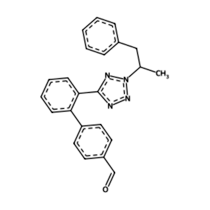 CC(Cc1ccccc1)n1nnc(-c2ccccc2-c2ccc(C=O)cc2)n1